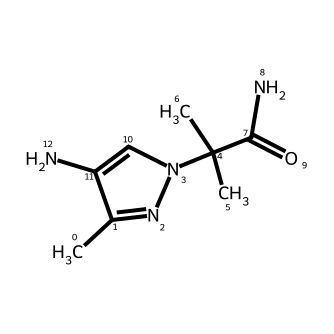 Cc1nn(C(C)(C)C(N)=O)cc1N